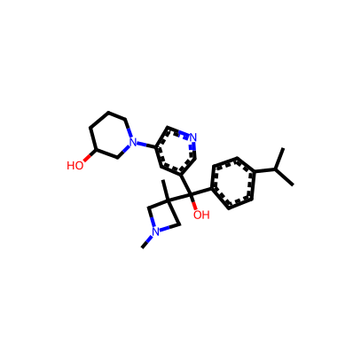 CC(C)c1ccc(C(O)(c2cncc(N3CCCC(O)C3)c2)C2(C)CN(C)C2)cc1